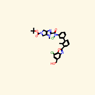 Cc1c(-c2cccc(N(Cl)C(=O)c3nc4c(n3C)CN(C(=O)OC(C)(C)C)C4)c2)cccc1-c1nc2cc(CO)cc(Cl)c2o1